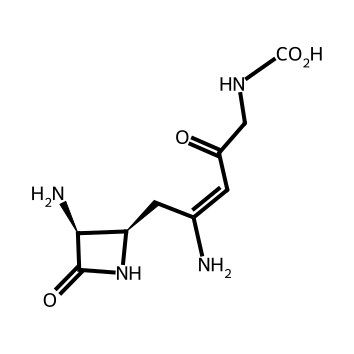 N/C(=C/C(=O)CNC(=O)O)C[C@H]1NC(=O)[C@H]1N